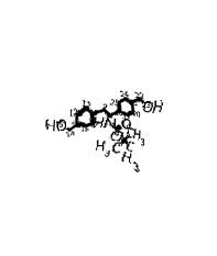 CC(C)(C)OC(=O)NC(Cc1ccc(CO)cc1)c1ccc(CO)cc1